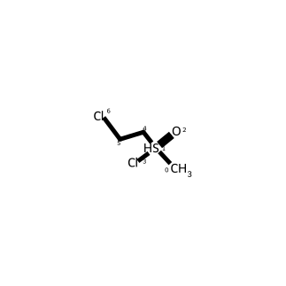 C[SH](=O)(Cl)CCCl